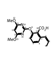 C/C=C\c1cccc(Oc2nc(OC)cc(OC)n2)c1C(=O)O